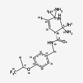 [2H]C1(N)NC([2H])(N)[C@H](C(=O)NCc2ccc(OC(C)C(F)(F)F)cc2)C=C1I